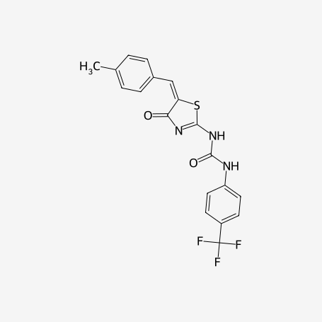 Cc1ccc(C=C2SC(NC(=O)Nc3ccc(C(F)(F)F)cc3)=NC2=O)cc1